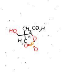 CC(C)(CO)[C@@H](OP(=O)=O)C(=O)O